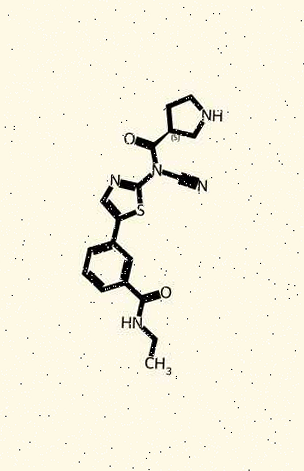 CCNC(=O)c1cccc(-c2cnc(N(C#N)C(=O)[C@H]3CCNC3)s2)c1